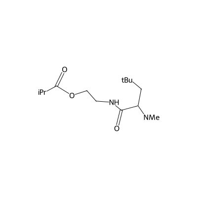 CNC(CC(C)(C)C)C(=O)NCCOC(=O)C(C)C